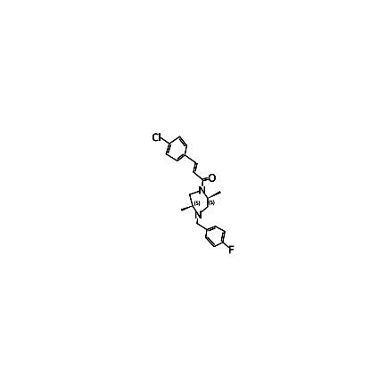 C[C@H]1CN(C(=O)C=Cc2ccc(Cl)cc2)[C@@H](C)CN1Cc1ccc(F)cc1